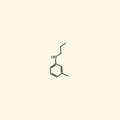 [CH2]c1cccc(NCCC)c1